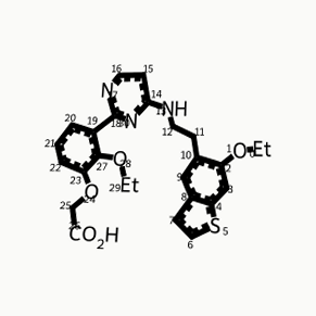 CCOc1cc2sccc2cc1CCNc1ccnc(-c2cccc(OCC(=O)O)c2OCC)n1